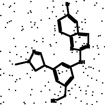 CN1CC(c2cc(CC#N)cc(Nc3ncc4cc(Br)ccc4n3)c2)C=N1